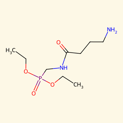 CCOP(=O)(CNC(=O)CCCN)OCC